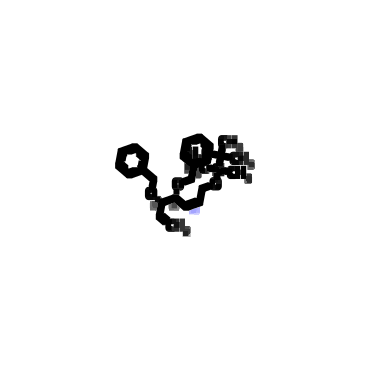 C=C[C@H](OCc1ccccc1)[C@@H](/C=C\CO[Si](C)(C)C(C)(C)C)OCc1ccccc1